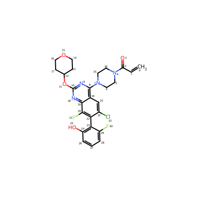 C=CC(=O)N1CCN(c2nc(OC3CCOCC3)nc3c(F)c(-c4c(O)cccc4F)c(Cl)cc23)CC1